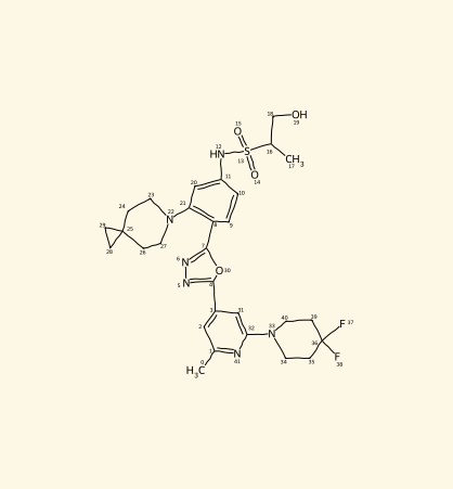 Cc1cc(-c2nnc(-c3ccc(NS(=O)(=O)C(C)CO)cc3N3CCC4(CC3)CC4)o2)cc(N2CCC(F)(F)CC2)n1